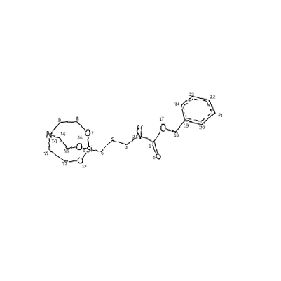 O=C(NCCC[Si]12OCCN(CCO1)CCO2)OCc1ccccc1